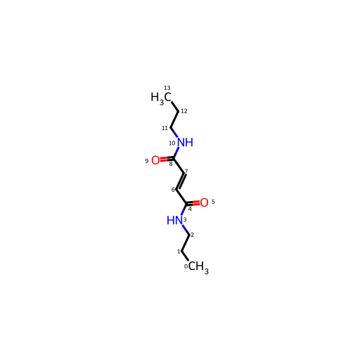 CCCNC(=O)C=CC(=O)NCCC